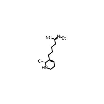 CC/N=C(/C#N)CCCCC1=CCCN[C@@H]1Cl